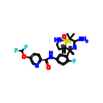 CC1(C)C(N)=N[C@](C)(c2cc(NC(=O)c3ccc(OC(F)F)cn3)ccc2F)[C@@H]2CCN[SH]21=O